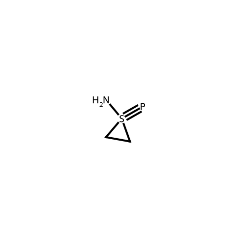 NS1(#P)CC1